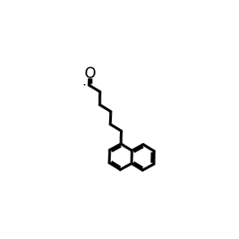 O=[C]CCCCCc1cccc2ccccc12